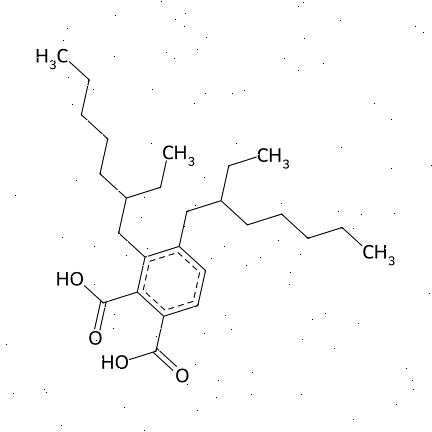 CCCCCC(CC)Cc1ccc(C(=O)O)c(C(=O)O)c1CC(CC)CCCCC